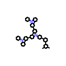 Cc1cc(C)cc(-c2cccc(-c3ccc(-n4c5ccc(-c6ccc7c(c6)c6ccccc6n7-c6ccccc6)cc5c5cc(-c6ccc7c(c6)c6ccccc6n7-c6ccccc6)ccc54)cc3)c2)c1